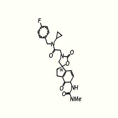 CNC(=O)NC1C=CC2=C(CC[C@]23CN(CC(=O)N(Cc2ccc(F)cc2)C2CC2)C(=O)O3)C1=O